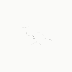 CC(=O)On1ccc(N)nc1=O